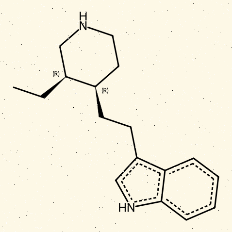 CC[C@H]1CNCC[C@H]1CCc1c[nH]c2ccccc12